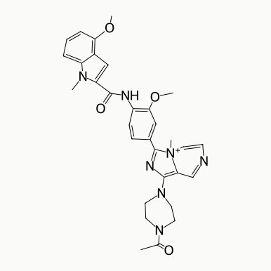 COc1cc(C2=NC(N3CCN(C(C)=O)CC3)=C3C=NC=C[N+]23C)ccc1NC(=O)c1cc2c(OC)cccc2n1C